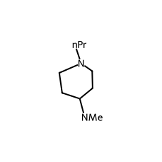 CCCN1CCC(NC)CC1